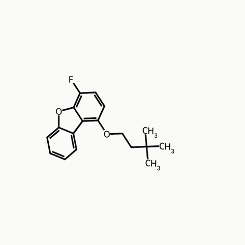 CC(C)(C)CCOc1ccc(F)c2oc3ccccc3c12